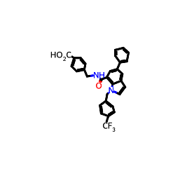 O=C(O)c1ccc(CNC(=O)c2cc(-c3ccccc3)cc3ccn(Cc4ccc(C(F)(F)F)cc4)c23)cc1